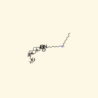 CCCCCCCC/C=C\CCCCCCCCNC(=O)O[C@@H]1CC[C@@]2(C)C(CCC3C2CC[C@@]2(C)C3CC[C@@H]2[C@H](C)CCC(=O)C(C)(C)C)C1